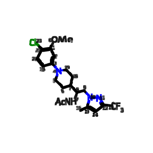 COc1cc(N2CCC(C(Cn3nc(C(F)(F)F)cc3C)NC(C)=O)CC2)ccc1Cl